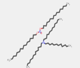 CCCCCCCCCCCCCCCCO[N+](=O)OCCCCCCCCCCCCCCCC.CCCCCCCCCCCCN(CCCCCCCCCCCC)CCCCCCCCCCCC